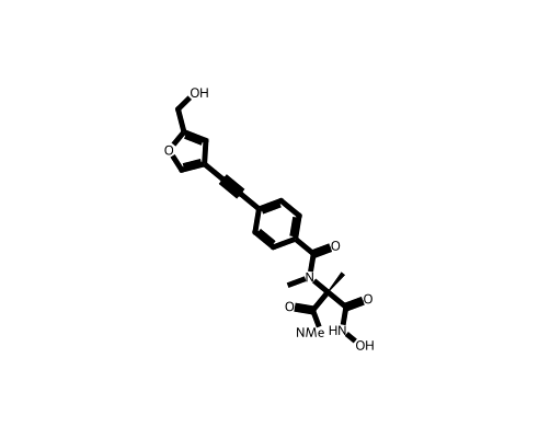 CNC(=O)[C@@](C)(C(=O)NO)N(C)C(=O)c1ccc(C#Cc2coc(CO)c2)cc1